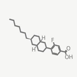 CCCCCCC[C@H]1CC[C@@H]2CC(c3ccc(C(=O)O)cc3F)CC[C@H]2C1